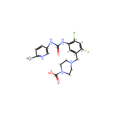 Cc1ccc(NC(=O)Nc2cc(CN3CCN(C(=O)O)CC3)c(F)cc2F)cn1